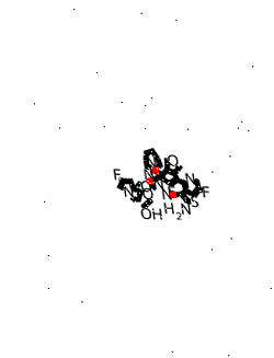 N#Cc1c(N)sc2c(F)cnc(-c3c4c(c5c(N6C7CCC6CN(CCCOCCO)C7)nc(OC[C@@]67CCCN6C[C@H](F)C7)nc5c3F)COC4)c12